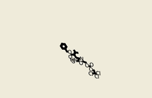 CC(C)=C(C(=O)OCc1ccccc1)C1C2N=C(COC(=O)OCC(Cl)(Cl)Cl)OC2[NH+]1[O-]